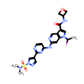 CC(I)n1cc(C(=O)NC2COC2)c2cnc(Nc3ccnc(-c4cnn(S(=O)(=O)N(C)C)c4)n3)cc21